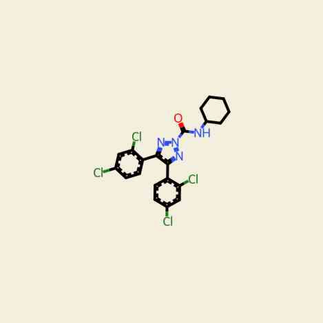 O=C(NC1CCCCC1)n1nc(-c2ccc(Cl)cc2Cl)c(-c2ccc(Cl)cc2Cl)n1